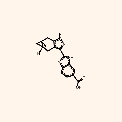 C[C@@]12Cc3[nH]nc(-c4nc5ccc(C(=O)O)cc5[nH]4)c3C[C@@H]1C2